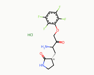 Cl.NC(C[C@@H]1CCNC1=O)C(=O)COc1c(F)c(F)cc(F)c1F